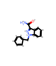 NC(=O)c1nn(Cc2ccccc2)c2ccccc12